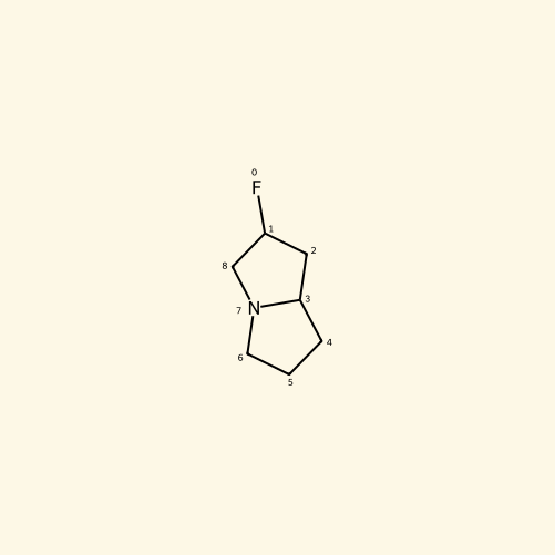 FC1CC2CCCN2C1